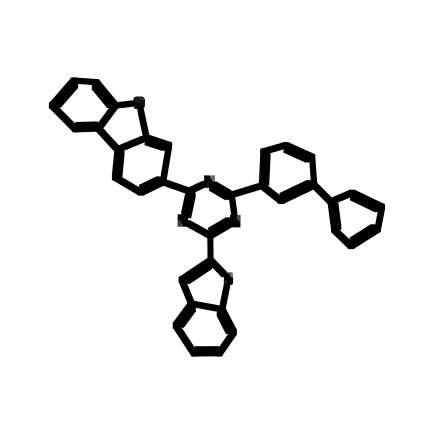 c1ccc(-c2cccc(-c3nc(-c4ccc5c(c4)oc4ccccc45)nc(-c4cc5ccccc5s4)n3)c2)cc1